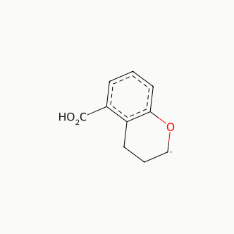 O=C(O)c1cccc2c1CC[CH]O2